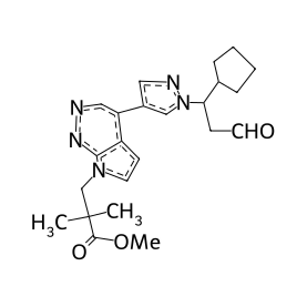 COC(=O)C(C)(C)Cn1ccc2c(-c3cnn(C(CC=O)C4CCCC4)c3)cnnc21